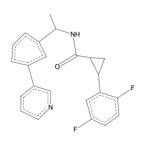 CC(NC(=O)C1CC1c1cc(F)ccc1F)c1cccc(-c2cccnc2)c1